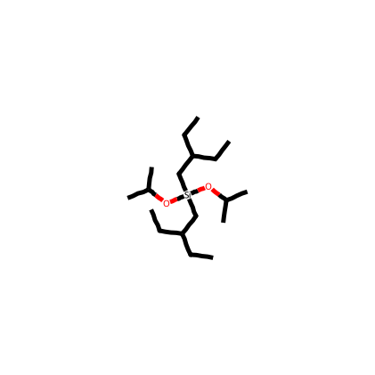 CCC(CC)C[Si](CC(CC)CC)(OC(C)C)OC(C)C